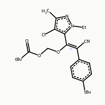 CCn1nc(C)c(Cl)c1/C(OCOC(=O)C(C)(C)C)=C(\C#N)c1ccc(C(C)(C)C)cc1